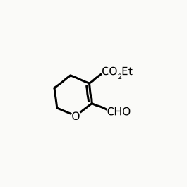 CCOC(=O)C1=C(C=O)OCCC1